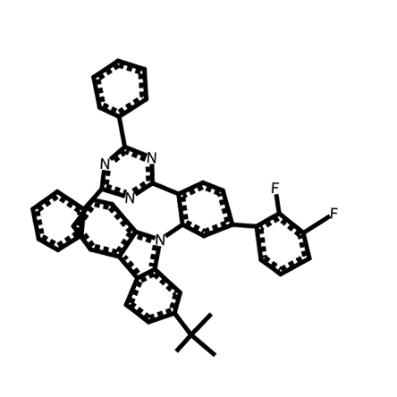 CC(C)(C)c1ccc2c3ccccc3n(-c3cc(-c4cccc(F)c4F)ccc3-c3nc(-c4ccccc4)nc(-c4ccccc4)n3)c2c1